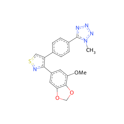 COc1cc(-c2nscc2-c2ccc(-c3nnnn3C)cc2)cc2c1OCO2